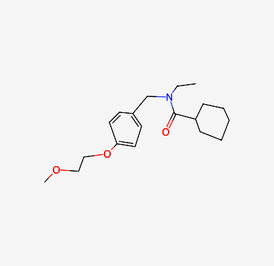 CCN(Cc1ccc(OCCOC)cc1)C(=O)C1CCCCC1